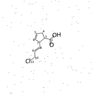 O=C(O)C1CC=CC1C=CCCl